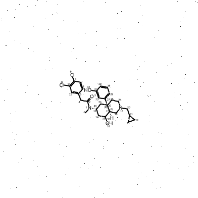 CN(C(=O)Cc1ccc(Cl)c(Cl)c1)[C@H]1CC(O)[C@@H]2CN(CC3CC3)CC[C@@]2(c2cccc(O)c2)C1